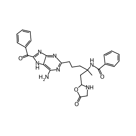 CC(CCCc1nc(N)c2[nH]c(C(=O)c3ccccc3)nc2n1)(CC1NCC(=O)O1)NC(=O)c1ccccc1